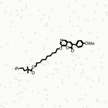 COc1ccc(-c2cc3cncc(OCCCCCCCCCCOC(=O)C(C)(C)CCC(C)C)c3oc2=O)cc1